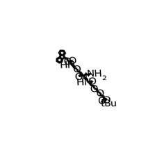 CC(C)(C)OC(=O)CCOCCOCCC(=O)NCCN(CCN)C(=O)CCOCCNC(=O)OCC1c2ccccc2-c2ccccc21